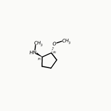 CN[C@@H]1CCC[C@H]1OC